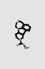 CC(C)(C)OC(=O)N1CCC2C(C1)c1cccc3c1N2CCOC3